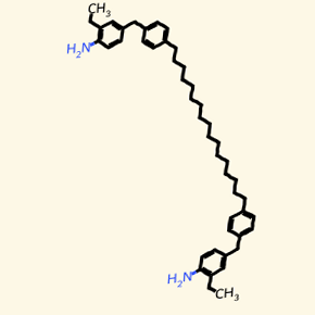 CCc1cc(Cc2ccc(CCCCCCCCCCCCCCCCCc3ccc(Cc4ccc(N)c(CC)c4)cc3)cc2)ccc1N